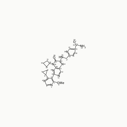 COc1ncnc(C2CC2)c1-c1ncc2nc(NCc3ccc([S+](N)[O-])cn3)c(=O)n(C3CCC3)c2n1